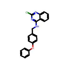 Clc1nc(NCc2ccc(Oc3ccccc3)cc2)c2ccccc2n1